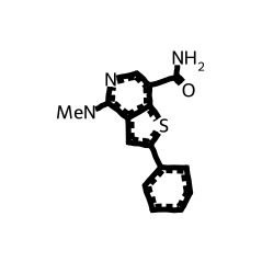 CNc1ncc(C(N)=O)c2sc(-c3ccccc3)cc12